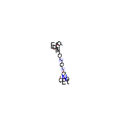 CCc1cccc(C)c1C[C@@H](c1ccccc1)[C@H](C)CC1=CCC(/C=C/C2=CC=C(/C=C/C3=CCC(N(C4=CCCCC4)C4C(C)=CC=CC4CC)C=C3)CC2)CC1